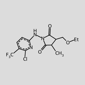 CCOCC1C(=O)N(Nc2ccc(C(F)(F)F)c(Cl)n2)C(=O)C1C